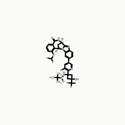 CC(C)(C)[S+]([O-])NC1(c2ncc(-c3ccc4nc5n(c4c3)[C@@H]3C[C@H]5NC(=O)c4cccc(OC(F)F)c43)cc2F)CC(O)(C(F)(F)F)C1